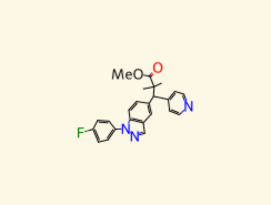 COC(=O)C(C)(C)C(c1ccncc1)c1ccc2c(cnn2-c2ccc(F)cc2)c1